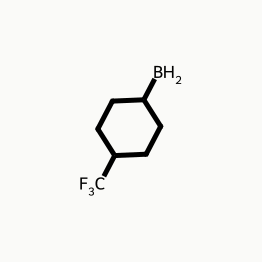 BC1CCC(C(F)(F)F)CC1